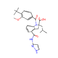 COc1cc(C(=O)N2c3cccc(C(=O)Nc4cc[nH]n4)c3CC2(CC(C)C)C(=O)O)ccc1C(C)(C)C